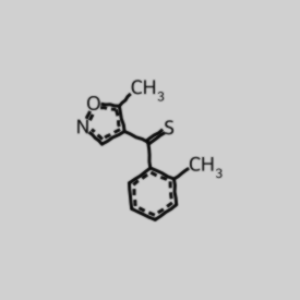 Cc1ccccc1C(=S)c1cnoc1C